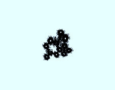 c1ccc(-c2cc(-c3ccccc3)nc(-c3cccc(-c4cccc(-c5nc(-c6cccc([Si](c7ccccc7)(c7ccccc7)c7ccccc7)c6)nc(-n6c7ccccc7c7ccccc76)n5)c4)c3)n2)cc1